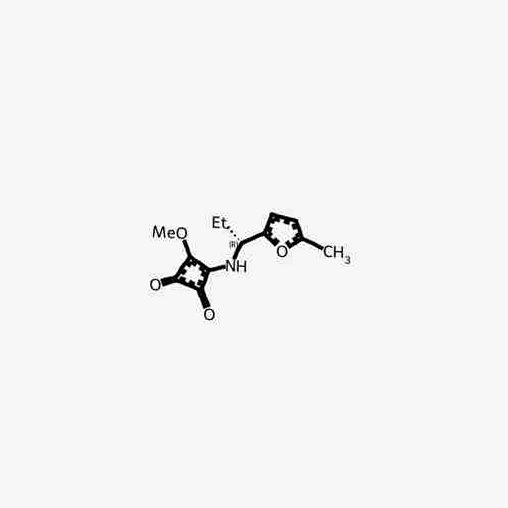 CC[C@@H](Nc1c(OC)c(=O)c1=O)c1ccc(C)o1